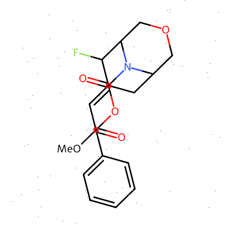 COC(=O)/C=C1\CC2COCC(C1F)N2C(=O)OCc1ccccc1